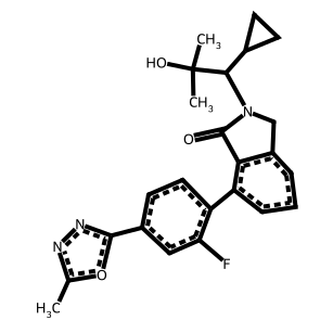 Cc1nnc(-c2ccc(-c3cccc4c3C(=O)N(C(C3CC3)C(C)(C)O)C4)c(F)c2)o1